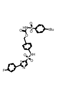 CC(C)(C)c1ccc(S(=O)(=O)NC(=O)OCc2ccc(NS(=O)(=O)c3cnc(-c4ccc(F)cc4)s3)cc2)cc1